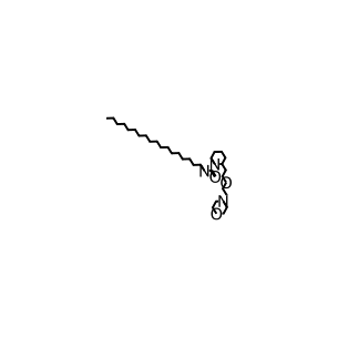 CCCCCCCCCCCCCCCCCCN(C)C(=O)N1CCCCC1CCOCCN1CCOCC1